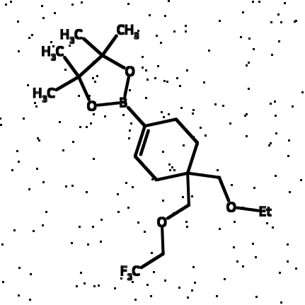 CCOCC1(COCC(F)(F)F)CC=C(B2OC(C)(C)C(C)(C)O2)CC1